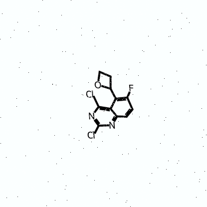 Fc1ccc2nc(Cl)nc(Cl)c2c1C1CCO1